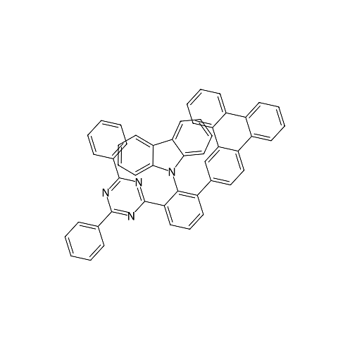 c1ccc(-c2nc(-c3ccccc3)nc(-c3cccc(-c4ccc5c6ccccc6c6ccccc6c5c4)c3-n3c4ccccc4c4ccccc43)n2)cc1